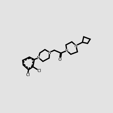 O=C(CN1CCN(c2cccc(Cl)c2Cl)CC1)N1CCN(C2CCC2)CC1